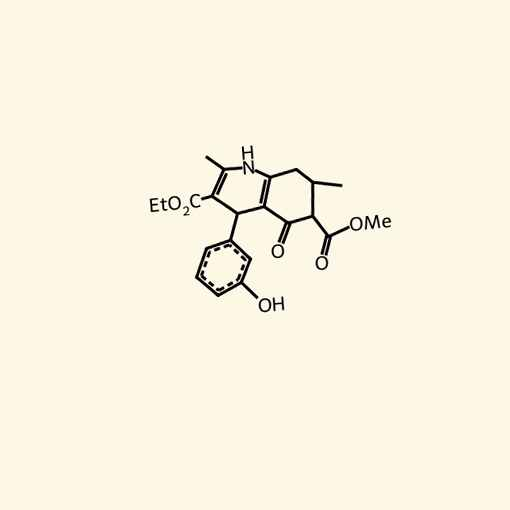 CCOC(=O)C1=C(C)NC2=C(C(=O)C(C(=O)OC)C(C)C2)C1c1cccc(O)c1